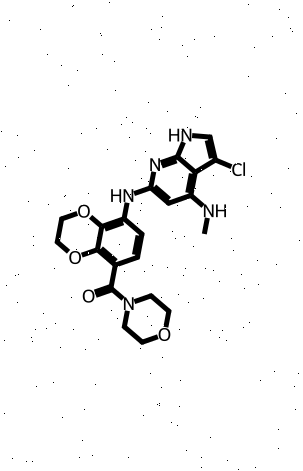 CNc1cc(Nc2ccc(C(=O)N3CCOCC3)c3c2OCCO3)nc2[nH]cc(Cl)c12